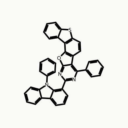 c1ccc(-c2nc(-c3cccc4c5ccccc5n(-c5ccccc5)c34)nc3oc4c(ccc5sc6ccccc6c54)c23)cc1